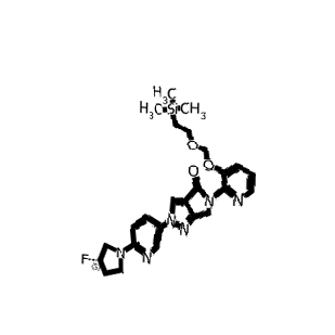 C[Si](C)(C)CCOCOc1cccnc1N1Cc2nn(-c3ccc(N4CC[C@H](F)C4)nc3)cc2C1=O